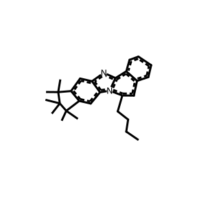 CCCCc1cc2ccccc2c2nc3cc4c(cc3n12)C(C)(C)C(C)(C)C4(C)C